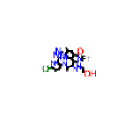 CCn1c(=O)c2cc(C)ccc2c2c(C(C)Nc3ccc(Cl)nc3-c3ncn(C)n3)nn(CCO)c21